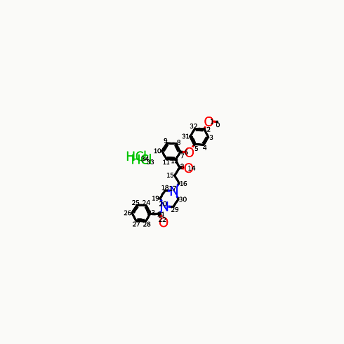 COc1ccc(Oc2ccccc2C(=O)CCN2CCN(C(=O)c3ccccc3)CC2)cc1.Cl.Cl